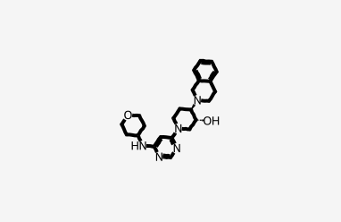 O[C@@H]1CN(c2cc(NC3CCOCC3)ncn2)CC[C@H]1N1CCc2ccccc2C1